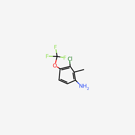 Cc1c(N)ccc(OC(F)(F)F)c1Cl